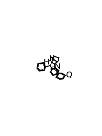 COc1cccc(/C=N/[C@@H]2C3CCN(CC3)[C@H]2C(c2ccccc2)c2ccccc2)c1